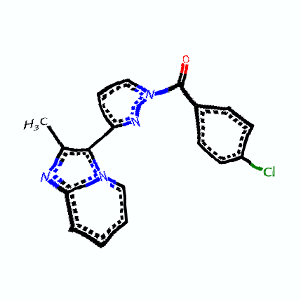 Cc1nc2ccccn2c1-c1ccn(C(=O)c2ccc(Cl)cc2)n1